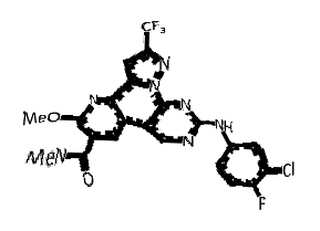 CNC(=O)c1cc2c3cnc(Nc4ccc(F)c(Cl)c4)nc3n3nc(C(F)(F)F)cc3c2nc1OC